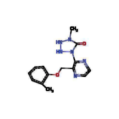 Cc1ccccc1OCc1nccnc1N1NNN(C)C1=O